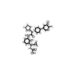 Cc1ncc(-c2ccc([C@H](C(=O)Nc3cccc([C@H](CC(=O)O)C4CC4)c3C)C3CCCC3)cc2)cc1Cl